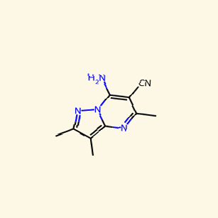 Cc1nc2c(C)c(C)nn2c(N)c1C#N